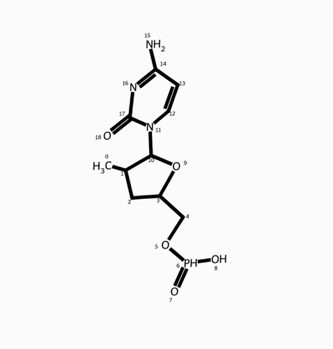 CC1CC(CO[PH](=O)O)OC1n1ccc(N)nc1=O